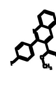 COC(=O)c1cc2ccccc2nc1-c1ccc(F)cc1